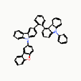 c1ccc(-n2c3ccccc3c3c(-c4ccccc4-c4ccc5c(c4)c4ccccc4n5-c4ccc5oc6ccccc6c5c4)cccc32)cc1